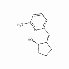 Nc1cccc(O[C@H]2CCC[C@H]2O)n1